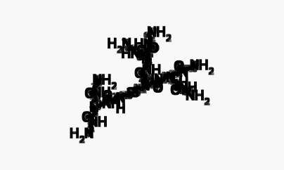 NCCNC(=O)CCN(CCNC(=O)CCNCCSSCCN(CCC(=O)NCCN(CCC(=O)NCCN)CCC(=O)NCCN)CCC(=O)NCCN(CCC(=O)NCCN)CC(=O)NCCN)CCC(=O)NCCN